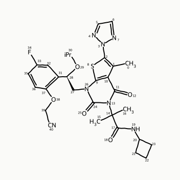 Cc1c(-n2nccn2)sc2c1c(=O)n(C(C)(C)C(=O)NC1CCC1)c(=O)n2C[C@H](OC(C)C)c1cc(F)ccc1OCC#N